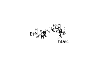 CCCCCCCCCCCCSC(=S)SC(C)(C)C(=O)OCCCn1cc(CNCC)nn1